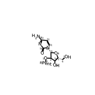 CCCCCOC1C(O)[C@@H](CO)O[C@H]1n1ccc(N)nc1=O